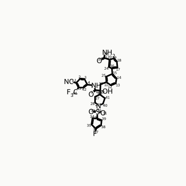 N#Cc1ccc(NC(=O)[C@@](O)(Cc2cccc(-c3cccc(C(N)=O)c3)c2)C2CCN(S(=O)(=O)c3ccc(F)cc3)CC2)cc1C(F)(F)F